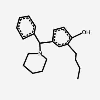 CCCCc1cc(C(c2ccccc2)N2CCCCC2)ccc1O